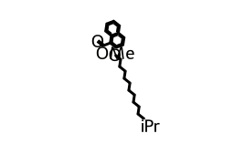 COC(=O)c1c(OCCCCCCCCCCCC(C)C)ccc2ccccc12